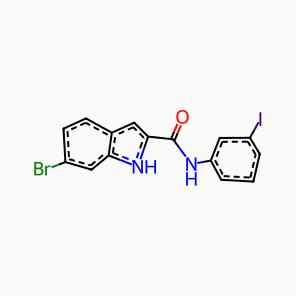 O=C(Nc1cccc(I)c1)c1cc2ccc(Br)cc2[nH]1